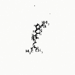 CCN(CC)CCn1cc(-c2cnc3c([c]cn3C(N)=O)c2)cn1